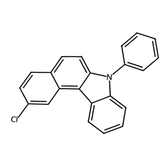 Clc1ccc2ccc3c(c2c1)c1ccccc1n3-c1ccccc1